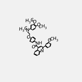 COc1cccc(-c2cc(C(=O)Nc3ccc(OCCN(C)c4ccc(OC)c(OC)c4)cc3)c3ccccc3n2)c1